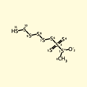 C[S+]([O-])S(=S)(=S)SSSSSS